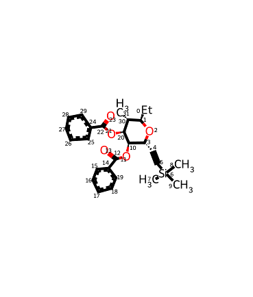 CC[C@H]1O[C@H](C#C[Si](C)(C)C)[C@@H](OC(=O)c2ccccc2)[C@@H](OC(=O)c2ccccc2)[C@@H]1C